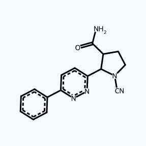 N#CN1CCC(C(N)=O)C1c1ccc(-c2ccccc2)nn1